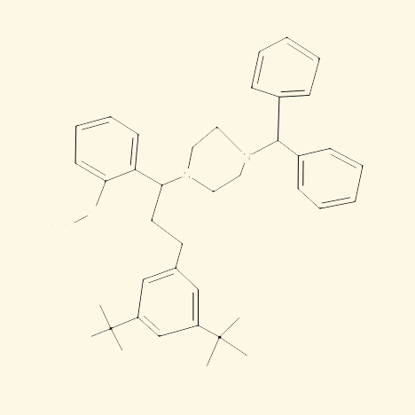 COc1ccccc1C([CH]Cc1cc(C(F)(F)F)cc(C(F)(F)F)c1)N1CCN(C(c2ccccc2)c2ccccc2)CC1